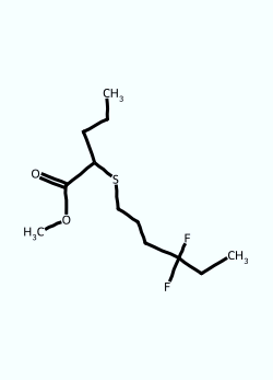 CCCC(SCCCC(F)(F)CC)C(=O)OC